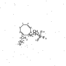 C1=C\CC/C=C\CC/1.CC#N.CC#N.F[B-](F)(F)F.[Ir]